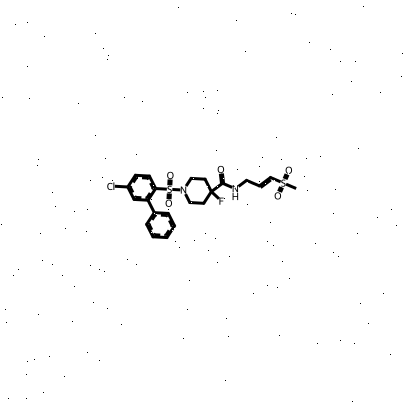 CS(=O)(=O)/C=C/CNC(=O)C1(F)CCN(S(=O)(=O)c2ccc(Cl)cc2-c2ccccc2)CC1